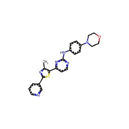 Cc1nc(-c2cccnc2)sc1-c1ccnc(Nc2ccc(N3CCOCC3)cc2)n1